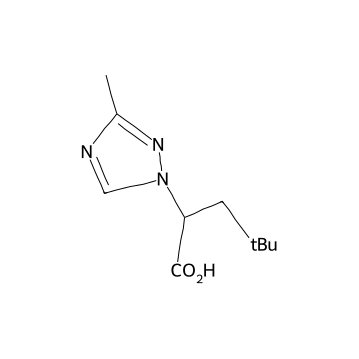 Cc1ncn(C(CC(C)(C)C)C(=O)O)n1